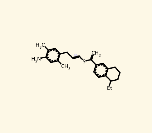 C=C(S/C=C/Cc1cc(C)c(N)cc1C)c1ccc2c(c1)CCCC2CC